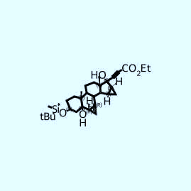 CCOC(=O)C#C[C@]1(O)[C@H]2C[C@H]2C2C3C(CC[C@@]21C)[C@@]1(C)CC[C@H](O[Si](C)(C)C(C)(C)C)C[C@@]1(O)[C@@H]1C[C@H]31